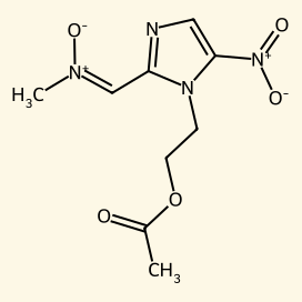 CC(=O)OCCn1c([N+](=O)[O-])cnc1C=[N+](C)[O-]